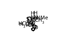 CN[C@@H](C)NC(=O)N[C@H]1CCSC2CC(C)(C)[C@@H](C(=O)N[C@@H]3CCOc4ccccc43)N2C1=O.Cl